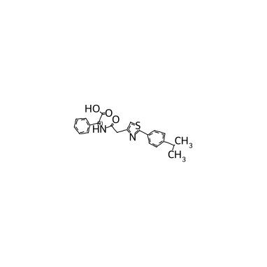 CC(C)c1ccc(-c2nc(CC(=O)N[C@@H](C(=O)O)c3ccccc3)cs2)cc1